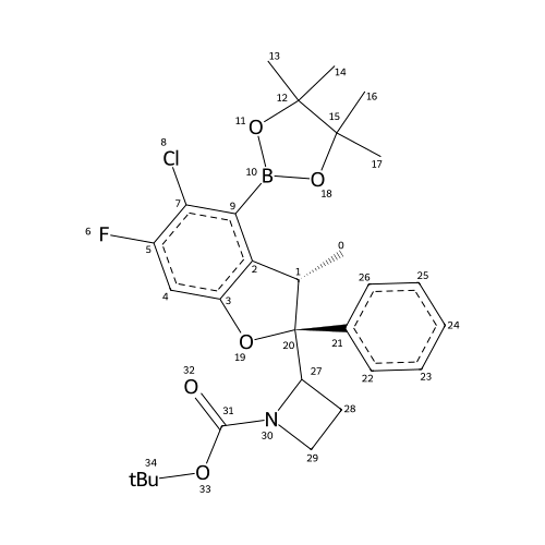 C[C@H]1c2c(cc(F)c(Cl)c2B2OC(C)(C)C(C)(C)O2)O[C@@]1(c1ccccc1)C1CCN1C(=O)OC(C)(C)C